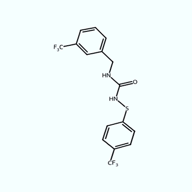 O=C(NCc1cccc(C(F)(F)F)c1)NSc1ccc(C(F)(F)F)cc1